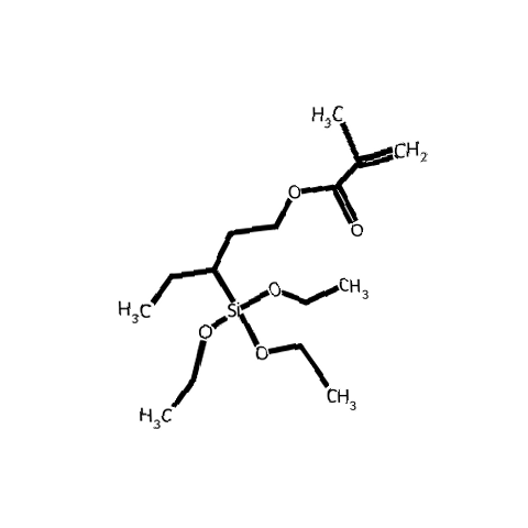 C=C(C)C(=O)OCCC(CC)[Si](OCC)(OCC)OCC